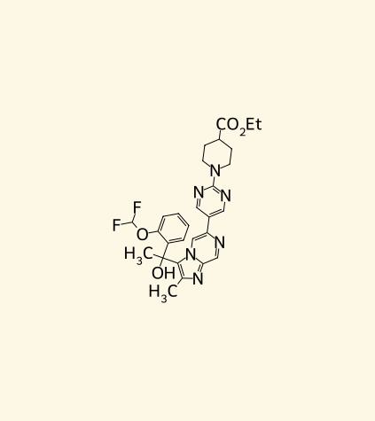 CCOC(=O)C1CCN(c2ncc(-c3cn4c(C(C)(O)c5ccccc5OC(F)F)c(C)nc4cn3)cn2)CC1